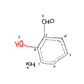 O=Cc1ccccc1O.[KH]